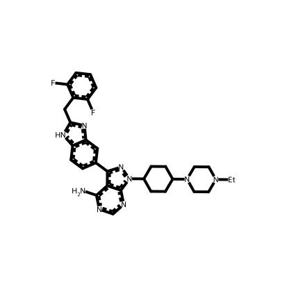 CCN1CCN(C2CCC(n3nc(-c4ccc5[nH]c(Cc6c(F)cccc6F)nc5c4)c4c(N)ncnc43)CC2)CC1